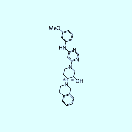 COc1cccc(Nc2cc(N3CC[C@@H](N4CCc5ccccc5C4)[C@H](O)C3)ncn2)c1